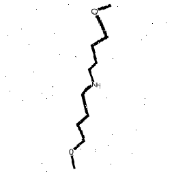 COCCCCNCCCCOC